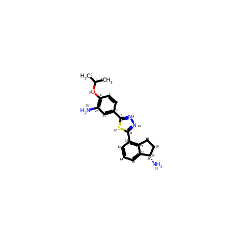 CC(C)Oc1ccc(-c2nnc(-c3cccc4c3CC[C@@H]4N)s2)cc1N